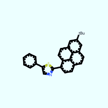 CC(C)(C)c1cc2ccc3ccc(-c4ncc(-c5ccccc5)s4)c4ccc(c1)c2c34